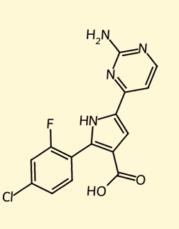 Nc1nccc(-c2cc(C(=O)O)c(-c3ccc(Cl)cc3F)[nH]2)n1